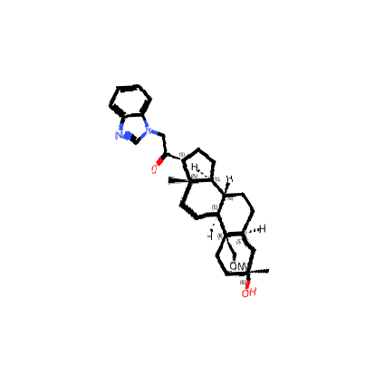 COC[C@]12CC[C@@](C)(O)C[C@@H]1CC[C@H]1[C@@H]3CC[C@H](C(=O)Cn4cnc5ccccc54)[C@@]3(C)CC[C@@H]12